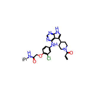 C=CC(=O)N1CCC(c2c[nH]c3ncnc(Nc4ccc(OCC(=O)NC(C)C)c(Cl)c4)c23)CC1